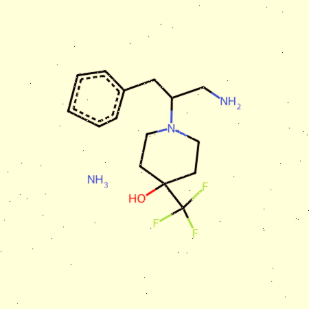 N.NCC(Cc1ccccc1)N1CCC(O)(C(F)(F)F)CC1